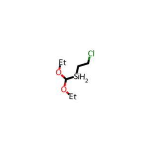 CCOC(OCC)[SiH2]CCCl